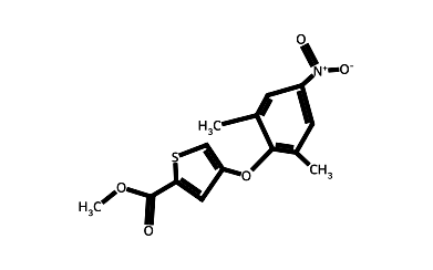 COC(=O)c1cc(Oc2c(C)cc([N+](=O)[O-])cc2C)cs1